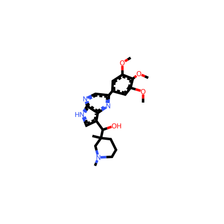 COc1cc(-c2cnc3[nH]cc(C(O)C4(C)CCCN(C)C4)c3n2)cc(OC)c1OC